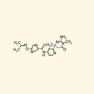 CC(C)=NOc1cnc(C(=O)Nc2ccnc(C3(C)CC(=O)N(C)C(N)=N3)c2)cn1